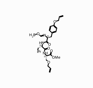 BOC=N[C@@H](Cc1ccc(OCC=C)cc1)C(=O)N[C@@H](CC(C)C)C(=O)N[C@@H](COCC=C)C(=O)OC